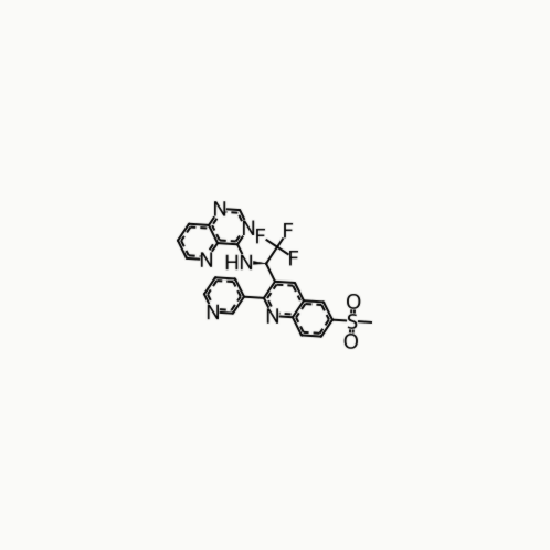 CS(=O)(=O)c1ccc2nc(-c3cccnc3)c([C@@H](Nc3ncnc4cccnc34)C(F)(F)F)cc2c1